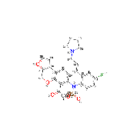 COC(=O)c1c(N(c2ccc(F)cc2C=CCN2CCCC2)[SH](=O)=O)ccc2c1OCc1occc1-2